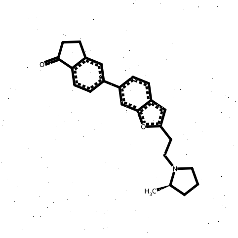 C[C@@H]1CCCN1CCc1cc2ccc(-c3ccc4c(c3)CCC4=O)cc2o1